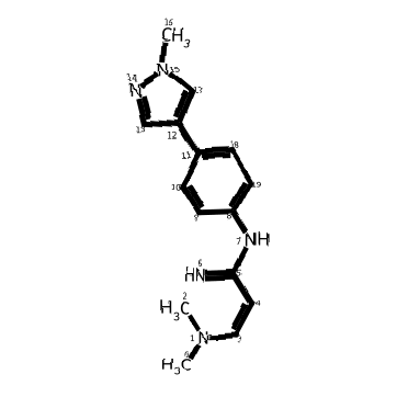 CN(C)/C=C\C(=N)Nc1ccc(-c2cnn(C)c2)cc1